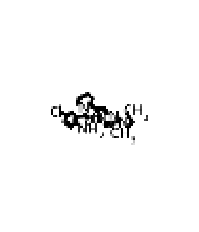 Cc1cn2nc(C3CCCCN3C(=O)c3cc(Cl)ccc3N)cc2nc1N1CCC1C